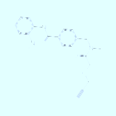 C#CCOCC(=O)N(C)Cc1ccc(C(=O)Nc2ccccc2N)cc1